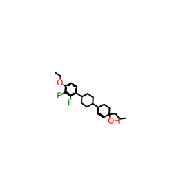 CCCC1(O)C=CC(C2CCC(c3ccc(OCC)c(F)c3F)CC2)CC1